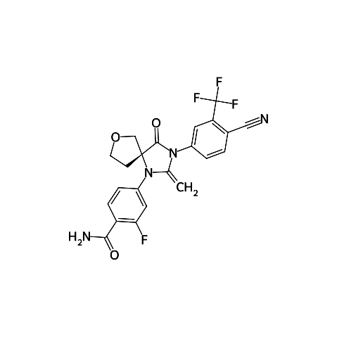 C=C1N(c2ccc(C#N)c(C(F)(F)F)c2)C(=O)[C@]2(CCOC2)N1c1ccc(C(N)=O)c(F)c1